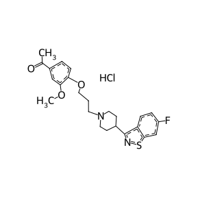 COc1cc(C(C)=O)ccc1OCCCN1CCC(c2nsc3cc(F)ccc23)CC1.Cl